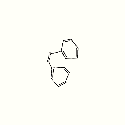 [c]1ccc(/N=N\c2ccccc2)cc1